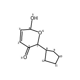 O=C1C=CC(O)OC1C1CCCC1